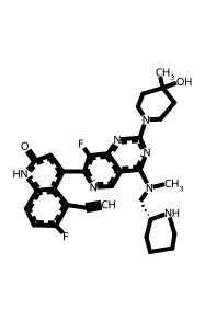 C#Cc1c(F)ccc2[nH]c(=O)cc(-c3ncc4c(N(C)C[C@H]5CCCCN5)nc(N5CCC(C)(O)CC5)nc4c3F)c12